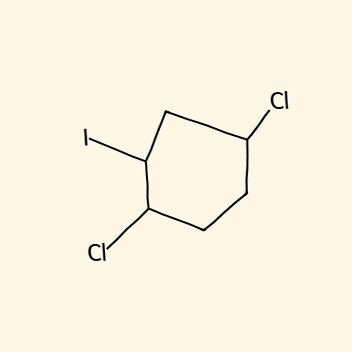 ClC1CCC(Cl)C(I)C1